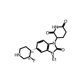 CCn1c(=O)n(C2CCC(=O)NC2=O)c2ccc([C@H]3CCNC[C@@H]3F)cc21